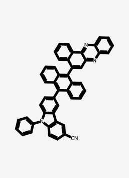 N#Cc1ccc2c(c1)c1cc(-c3c4ccccc4c(-c4cc5nc6ccccc6nc5c5ccccc45)c4ccccc34)ccc1n2-c1ccccc1